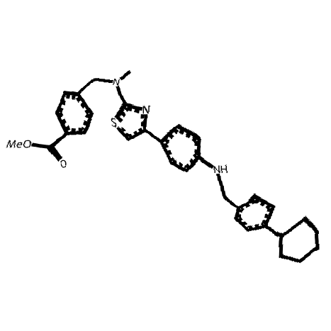 COC(=O)c1ccc(CN(C)c2nc(-c3ccc(NCc4ccc(C5CCCCC5)cc4)cc3)cs2)cc1